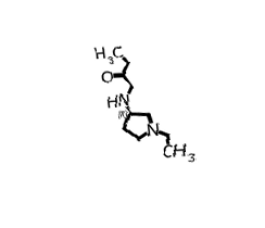 CCC(=O)CN[C@@H]1CCN(CC)C1